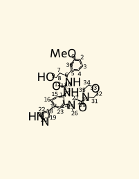 COc1cccc(C(CCO)NC(=O)Nc2ccc(-c3cn[nH]c3)cc2N(C)CC(=O)N2CCOCC2)c1